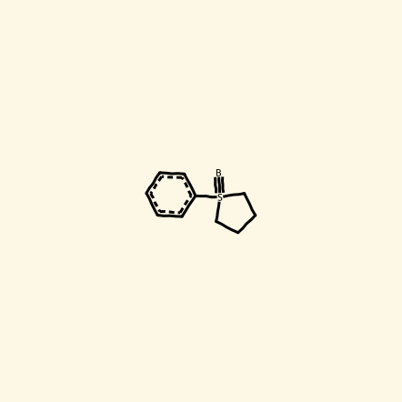 B#S1(c2ccccc2)CCCC1